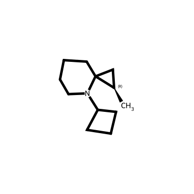 C[C@@H]1CC12CCCCN2C1CCC1